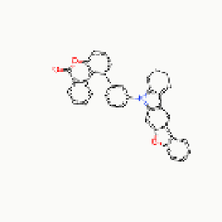 O=c1oc2cccc(-c3cccc(-n4c5c(c6cc7c(cc64)oc4ccccc47)=CCCC=5)c3)c2c2ccccc12